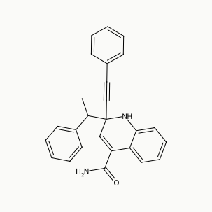 CC(c1ccccc1)C1(C#Cc2ccccc2)C=C(C(N)=O)c2ccccc2N1